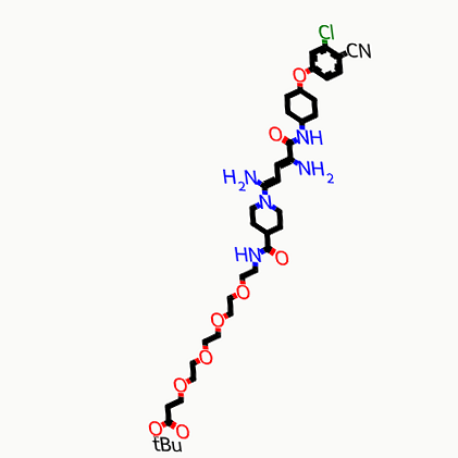 CC(C)(C)OC(=O)CCOCCOCCOCCOCCNC(=O)C1CCN(/C(N)=C/C=C(\N)C(=O)NC2CCC(Oc3ccc(C#N)c(Cl)c3)CC2)CC1